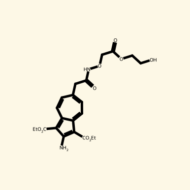 CCOC(=O)c1c2ccc(CC(=O)NOCC(=O)OCCO)ccc-2c(C(=O)OCC)c1N